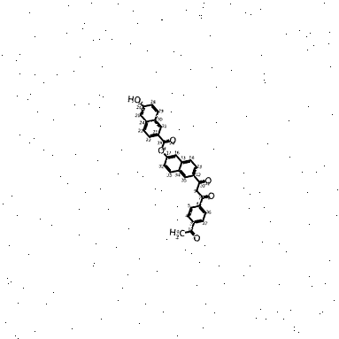 CC(=O)c1ccc(C(=O)CC(=O)c2ccc3cc(OC(=O)c4ccc5cc(O)ccc5c4)ccc3c2)cc1